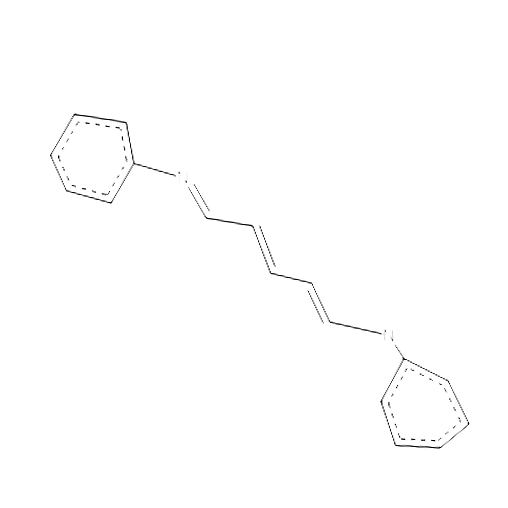 C(=CC=Nc1ccccc1)C=CNc1ccccc1